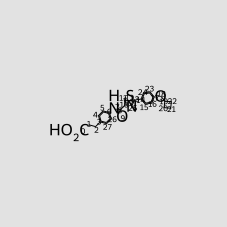 O=C(O)CCc1ccc(NC(=O)c2csc(-c3ccc(OC4CCC4)cc3)n2)cc1